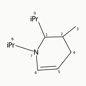 CC(C)C1C(C)CC=CN1C(C)C